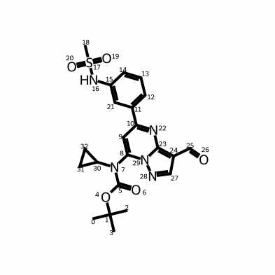 CC(C)(C)OC(=O)N(c1cc(-c2cccc(NS(C)(=O)=O)c2)nc2c(C=O)cnn12)C1CC1